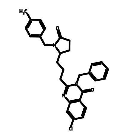 Cc1ccc(CN2C(=O)CCC2CCCc2nc3cc(Cl)ccc3c(=O)n2Cc2ccccc2)cc1